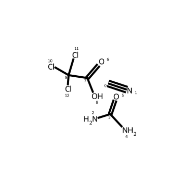 C#N.NC(N)=O.O=C(O)C(Cl)(Cl)Cl